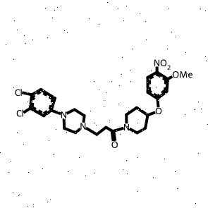 COc1cc(OC2CCN(C(=O)CCN3CCN(c4ccc(Cl)c(Cl)c4)CC3)CC2)ccc1[N+](=O)[O-]